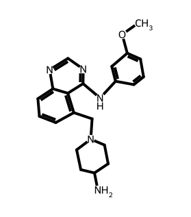 COc1cccc(Nc2ncnc3cccc(CN4CCC(N)CC4)c23)c1